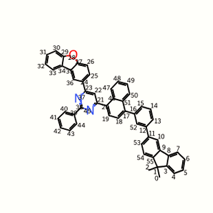 CC1(C)c2ccccc2-c2cc(-c3cccc(-c4ccc(-c5cc(-c6ccc7oc8ccccc8c7c6)nc(-c6ccccc6)n5)c5ccccc45)c3)ccc21